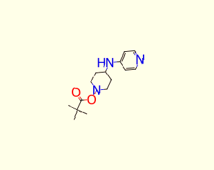 CC(C)(C)C(=O)ON1CCC(Nc2ccncc2)CC1